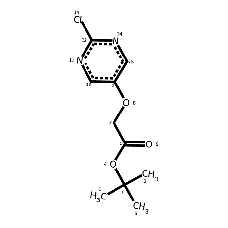 CC(C)(C)OC(=O)COc1cnc(Cl)nc1